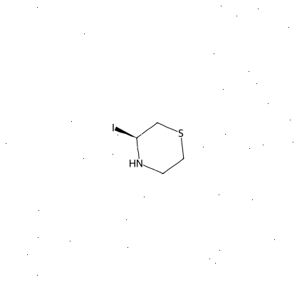 I[C@H]1CSCCN1